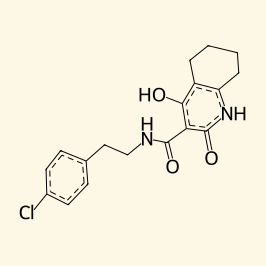 O=C(NCCc1ccc(Cl)cc1)c1c(O)c2c([nH]c1=O)CCCC2